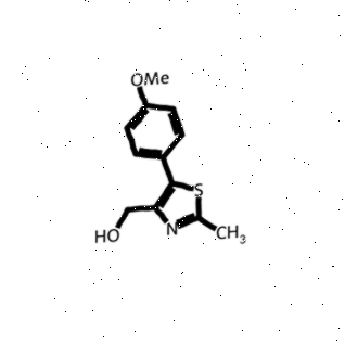 COc1ccc(-c2sc(C)nc2CO)cc1